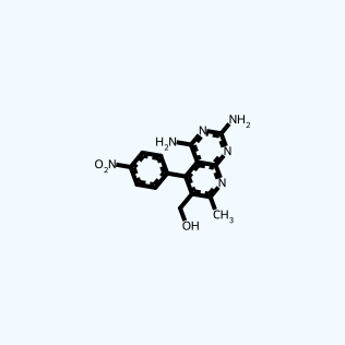 Cc1nc2nc(N)nc(N)c2c(-c2ccc([N+](=O)[O-])cc2)c1CO